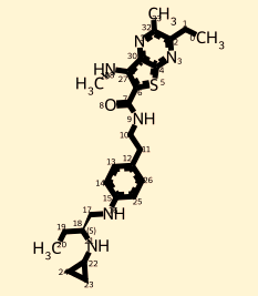 CCc1nc2sc(C(=O)NCCc3ccc(NC[C@H](CC)NC4CC4)cc3)c(NC)c2nc1C